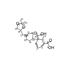 CC1C(C(=O)O)=CC=CC1(C(=O)O)C1CCN(CC2COC(C)(C)O2)CC1